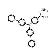 NOB(O)c1ccc(N(c2ccc(-c3ccccc3)cc2)c2ccc(-c3ccccc3)cc2)cc1